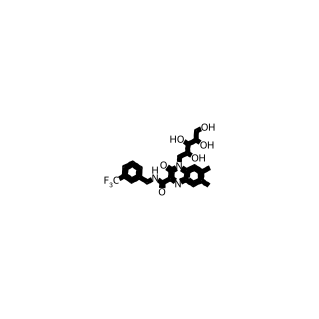 Cc1cc2nc(C(=O)NCc3cccc(C(F)(F)F)c3)c(=O)n(CC(O)C(O)C(O)CO)c2cc1C